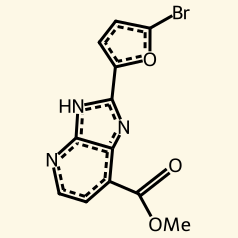 COC(=O)c1ccnc2[nH]c(-c3ccc(Br)o3)nc12